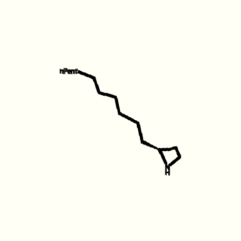 CCCCCCCCCCC[C@H]1CCN1